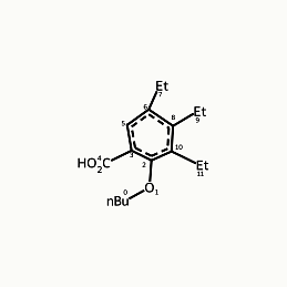 CCCCOc1c(C(=O)O)cc(CC)c(CC)c1CC